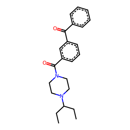 CCC(CC)N1CCN(C(=O)c2cccc(C(=O)c3ccccc3)c2)CC1